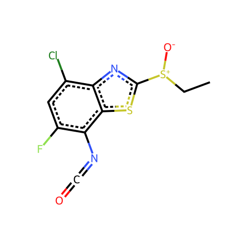 CC[S+]([O-])c1nc2c(Cl)cc(F)c(N=C=O)c2s1